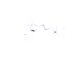 C[SH](C)c1cn(CCNC(C)(C)C)nn1